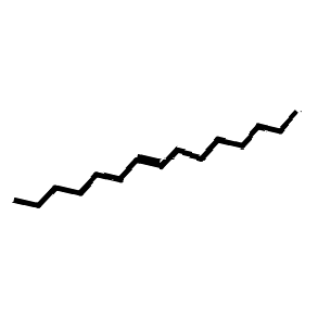 [CH2]CCCCCCC=CCCCCCC